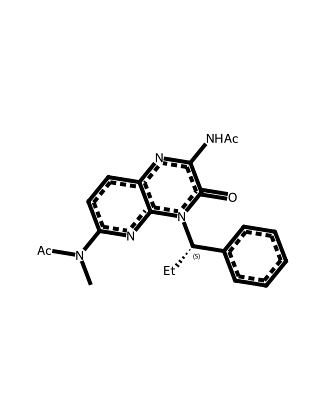 CC[C@@H](c1ccccc1)n1c(=O)c(NC(C)=O)nc2ccc(N(C)C(C)=O)nc21